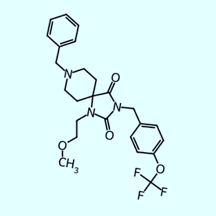 COCCN1C(=O)N(Cc2ccc(OC(F)(F)F)cc2)C(=O)C12CCN(Cc1ccccc1)CC2